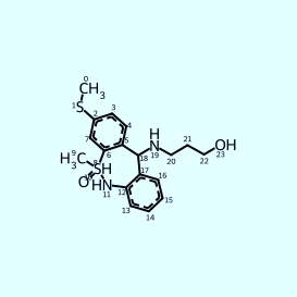 CSc1ccc2c(c1)[SH](C)(=O)Nc1ccccc1C2NCCCO